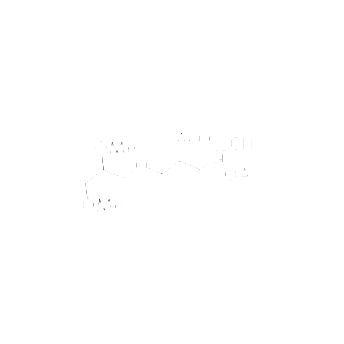 COCC(COCCC[Si](C)(OC(C)=O)OC(C)=O)OC